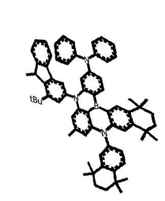 Cc1cc2c3c(c1)N(c1ccc4c(c1)C(C)(C)CCC4(C)C)c1cc4c(cc1B3c1ccc(N(c3ccccc3)c3ccccc3)cc1N2c1cc2c(c(C(C)(C)C)c1)C(C)c1ccccc1-2)C(C)(C)CCC4(C)C